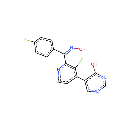 ON=C(c1ccc(F)cc1)c1nccc(-c2cncnc2O)c1F